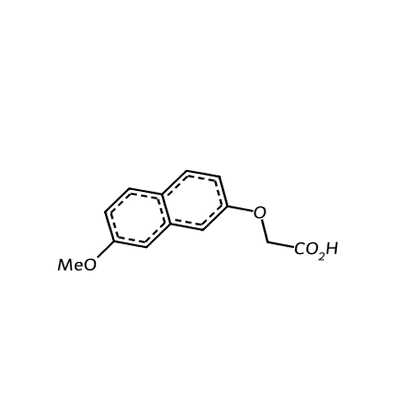 COc1ccc2ccc(OCC(=O)O)cc2c1